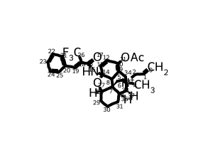 C=CC[N+]1(C)CC[C@]23C4C5=C(OC(C)=O)C=CC4(NC(=O)C(=Cc4ccccc4)C(F)(F)F)O[C@H]2CCC[C@H]3[C@H]1C5